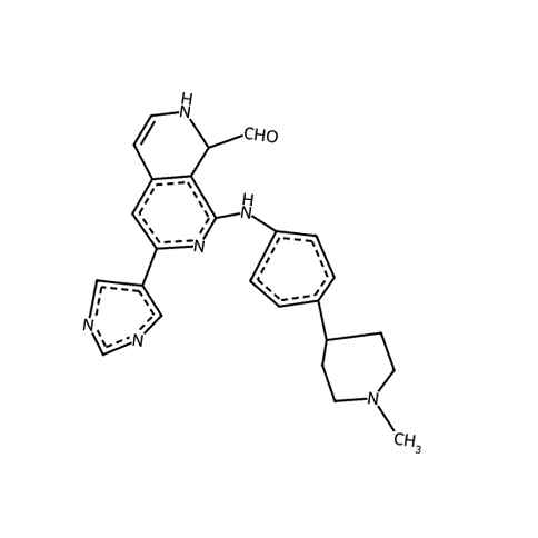 CN1CCC(c2ccc(Nc3nc(-c4cncnc4)cc4c3C(C=O)NC=C4)cc2)CC1